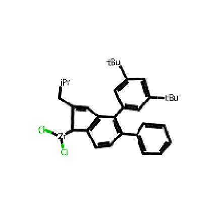 CC(C)CC1=Cc2c(ccc(-c3ccccc3)c2-c2cc(C(C)(C)C)cc(C(C)(C)C)c2)[CH]1[Zr]([Cl])[Cl]